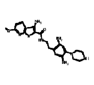 COc1ccc2c(N)c(C(=O)NCCc3cc(P)c(N4CCNCC4)cc3P)sc2n1